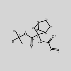 C=CC(=O)OC1(C(=O)OC(C)(C)C)CC2CCC1C2